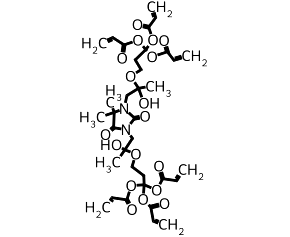 C=CC(=O)OC(CCOC(C)(O)CN1C(=O)N(CC(C)(O)OCCC(OC(=O)C=C)(OC(=O)C=C)OC(=O)C=C)C(C)(C)C1=O)(OC(=O)C=C)OC(=O)C=C